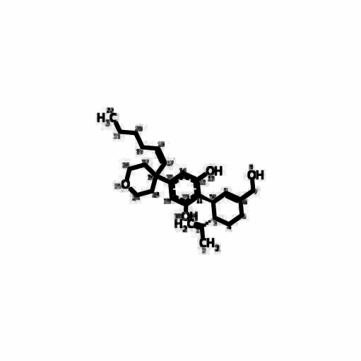 C=C(C)[C@H]1CCC(CO)=C[C@@H]1c1c(O)cc(C2(/C=C\CCCC)CCOCC2)cc1O